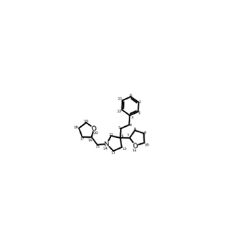 c1ccc(CCC2(C3CCCO3)CCN(CC3CCCO3)C2)cc1